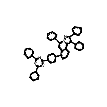 c1ccc(-c2nc(-c3ccccc3)nc(-c3ccc(-c4cccc5c4cc(-c4ccccc4)n4nc(-c6ccccc6)c(-c6ccccc6)c54)cc3)n2)cc1